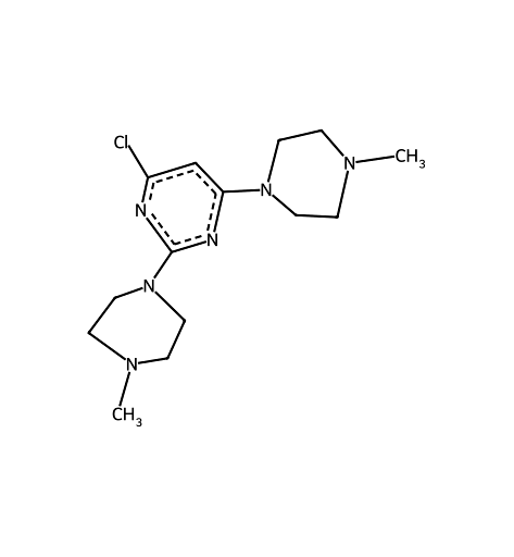 CN1CCN(c2cc(Cl)nc(N3CCN(C)CC3)n2)CC1